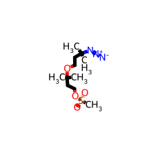 CC(C)(CCOC(C)(C)CCOS(C)(=O)=O)N=[N+]=[N-]